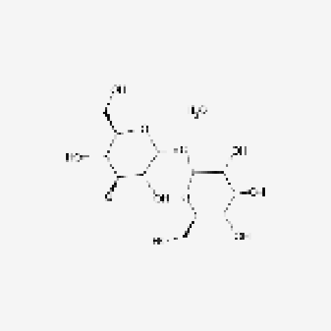 O.OC[C@H]1O[C@H](O[C@H]2O[C@H](CO)[C@@H](O)[C@H](O)[C@H]2O)[C@H](O)[C@@H](O)[C@@H]1O